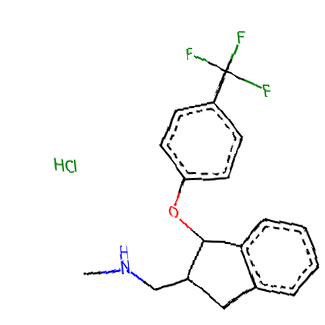 CNCC1Cc2ccccc2C1Oc1ccc(C(F)(F)F)cc1.Cl